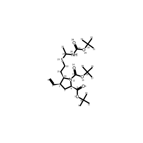 C=C[C@@H]1C[C@H](C(=O)OC(C)(C)C)N(C(=O)OC(C)(C)C)[C@@H]1CCSC(C)NC(=O)OC(C)(C)C